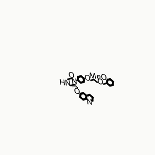 COc1ccccc1COCCCOc1ccc(N2C(=O)CNC[C@@H]2COc2ccc3ncccc3c2)cc1